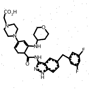 O=C(O)CN1CCN(C2=CCC(C(=O)Nc3n[nH]c4ccc(Cc5cc(F)cc(F)c5)cc34)C(NC3CCOCC3)=C2)CC1